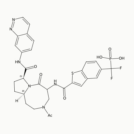 CC(=O)N1CC[C@H]2CC[C@@H](C(=O)Nc3ccc4ccnnc4c3)N2C(=O)C(NC(=O)c2cc3cc(C(F)(F)P(=O)(O)O)ccc3s2)C1